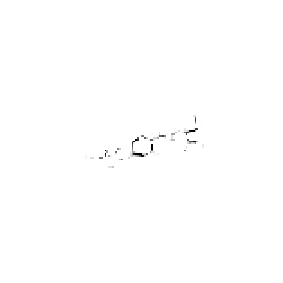 Cc1noc(C)c1CNCc1ccc(SC(C)(C)C(=O)OC(C)(C)C)cc1